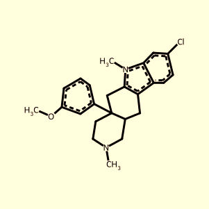 COc1cccc(C23CCN(C)CC2Cc2c(n(C)c4cc(Cl)ccc24)C3)c1